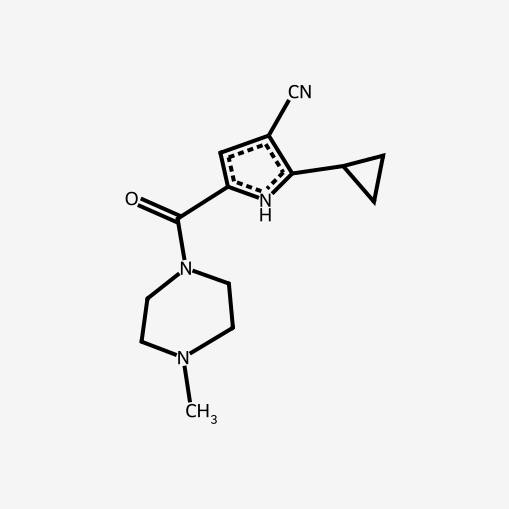 CN1CCN(C(=O)c2cc(C#N)c(C3CC3)[nH]2)CC1